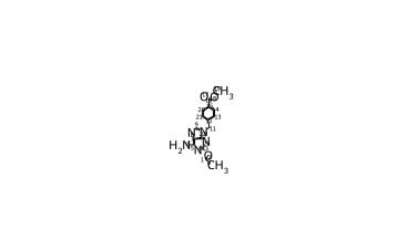 CCOc1nc(N)c2ncn(Cc3ccc(C(=O)OC)cc3)c2n1